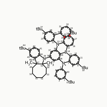 CC(C)(C)c1cccc(N2c3cc(C(C)(C)C)ccc3B3c4ccc(C(C)(C)C)cc4N(c4ccc(C(C)(C)C)cc4-c4ccccc4)c4cc(N5c6ccc(C(C)(C)C)cc6C6(C)CCCCCCC56C)cc2c43)c1